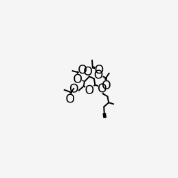 C#CCC(C)CCOC1OC(COC(C)=O)[C@@H](OC(C)=O)C(OC(C)=O)[C@H]1OC(C)=O